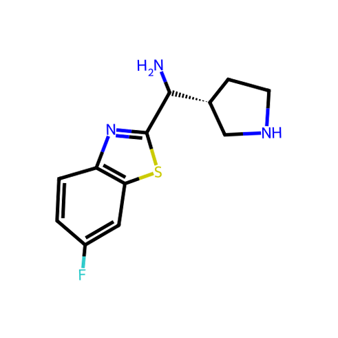 NC(c1nc2ccc(F)cc2s1)[C@@H]1CCNC1